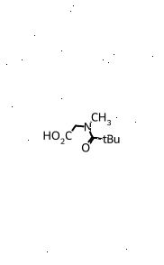 CN(CC(=O)O)C(=O)C(C)(C)C